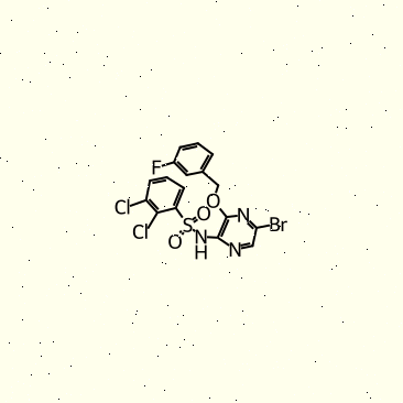 O=S(=O)(Nc1ncc(Br)nc1OCc1cccc(F)c1)c1cccc(Cl)c1Cl